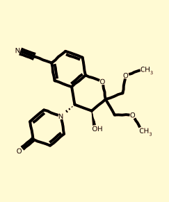 COCC1(COC)Oc2ccc(C#N)cc2[C@@H](n2ccc(=O)cc2)[C@@H]1O